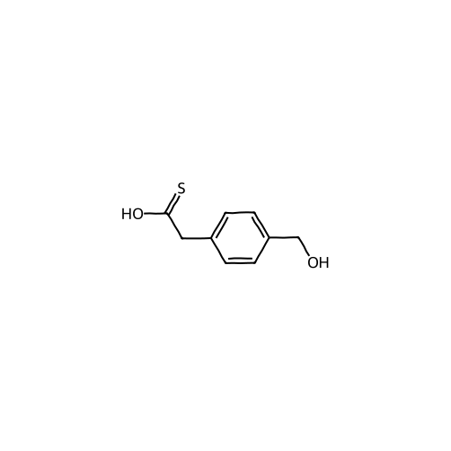 OCc1ccc(CC(O)=S)cc1